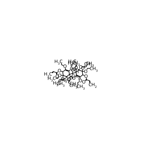 C=CC(=O)OC1C(OCC)=C(OCC)C(OCC)(C(C)(C)C2(OCC)C(OCC)=C(OCC)C(OC(=O)C=C)C(OCC)(OCC)C2(OCC)OCC)C(OCC)(OCC)C1(OCC)OCC